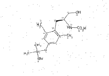 Cc1cc(O[Si](C)(C)C(C)(C)C)cc(C)c1C[C@@H](CO)NC(=O)O